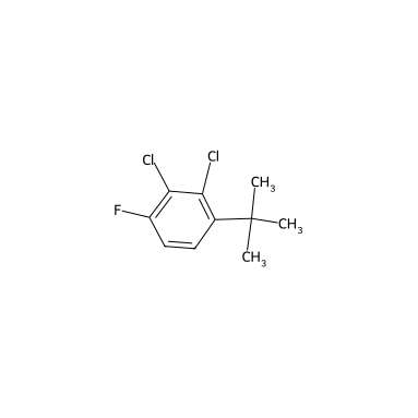 CC(C)(C)c1ccc(F)c(Cl)c1Cl